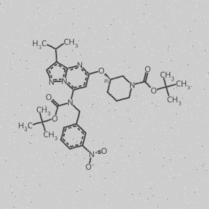 CC(C)c1cnn2c(N(Cc3cccc([N+](=O)[O-])c3)C(=O)OC(C)(C)C)cc(O[C@@H]3CCCN(C(=O)OC(C)(C)C)C3)nc12